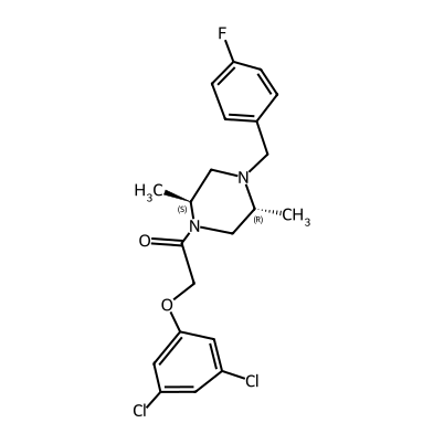 C[C@@H]1CN(C(=O)COc2cc(Cl)cc(Cl)c2)[C@@H](C)CN1Cc1ccc(F)cc1